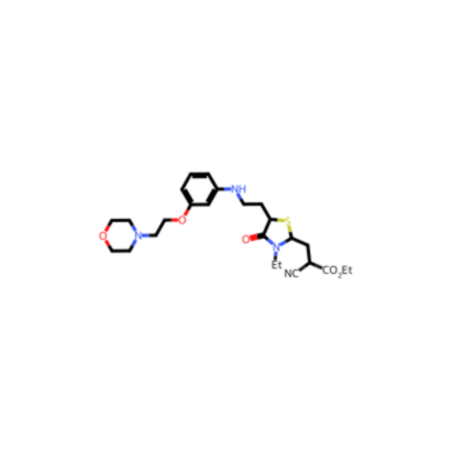 CCOC(=O)C(C#N)CC1SC(CCNc2cccc(OCCN3CCOCC3)c2)C(=O)N1CC